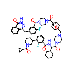 O=C(N[C@@H](C(=O)N1CCN(CC23CCC(C(=O)N4CCN(C(=O)c5cc(Cc6n[nH]c(=O)c7ccccc67)ccc5F)CC4)(CC2)CO3)CC1)C1CCCCC1)c1cccc(C2CCCN(C(=O)C3CC3)C2)c1F